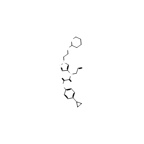 C=CCN(C(=O)C(=C)Oc1ccc(C2CC2)cc1)c1cnn(CCOC2CCCCO2)c1